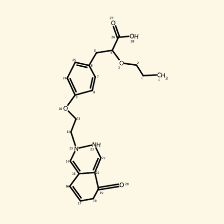 CCCOC(Cc1ccc(OCCN2C=C3C=CCC(=O)C3=CN2)cc1)C(=O)O